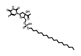 CCCCCCCCCCCCCCCCCCOP(=O)(O)OC[C@H]1O[C@@H](n2cc(F)c(=O)[nH]c2=O)C[C@@]1(O)C(C)=O